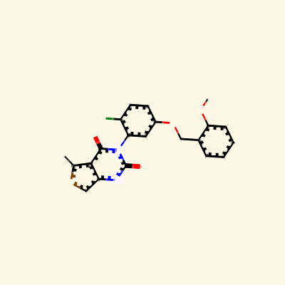 O=C(O)c1scc2[nH]c(=O)n(-c3cc(OCc4ccccc4OC(F)(F)F)ccc3F)c(=O)c12